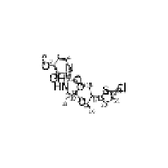 COc1ccnc(C(=O)N[C@@H](C)C(=O)OC(C)C(C)c2ccc(Cl)s2)c1O